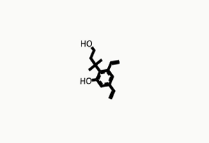 C=Cc1cc(O)c(C(C)(C)CCO)c(C=C)c1